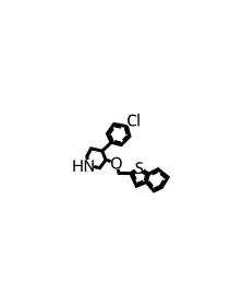 Clc1ccc(C2CCNCC2OCc2cc3ccccc3s2)cc1